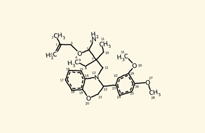 C=C(C)COC(N)C(CC)(CC)CN1c2ccccc2OCC1c1ccc(OC)c(OC)c1